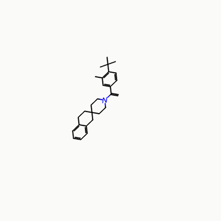 C=C(c1ccc(C(C)(C)C)c(C)c1)N1CCC2(CCc3ccccc3C2)CC1